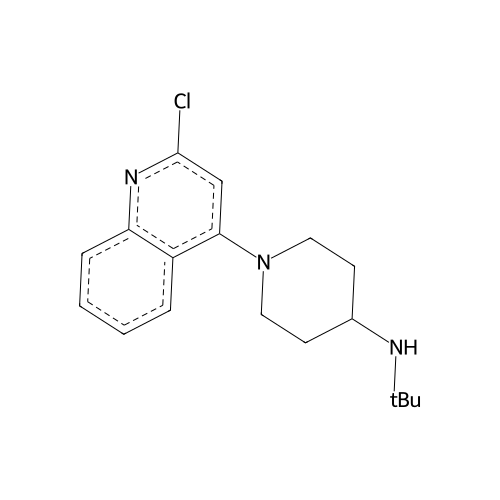 CC(C)(C)NC1CCN(c2cc(Cl)nc3ccccc23)CC1